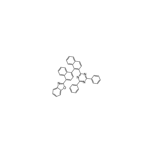 c1ccc(-c2nc(-c3ccccc3)nc(-c3ccc4ccccc4c3-c3ccc(-c4nc5ccccc5o4)c4ccccc34)n2)cc1